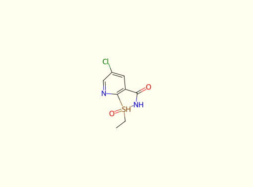 CC[SH]1(=O)NC(=O)c2cc(Cl)cnc21